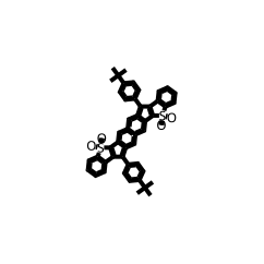 CC(C)(C)c1ccc(C2=c3cc4cc5c(cc4cc3C3=C2c2ccccc2S3(=O)=O)=C(c2ccc(C(C)(C)C)cc2)C2=C5S(=O)(=O)c3ccccc32)cc1